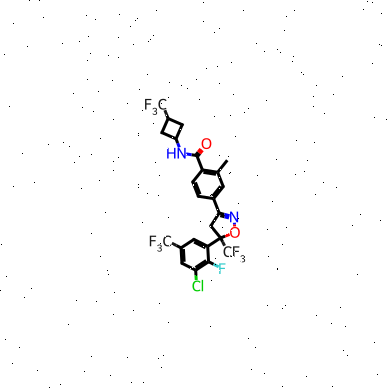 Cc1cc(C2=NOC(c3cc(C(F)(F)F)cc(Cl)c3F)(C(F)(F)F)C2)ccc1C(=O)NC1CC(C(F)(F)F)C1